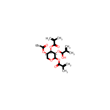 C=C(C)C(=O)OC1OC[C@@H](OC(=O)C(C)(C)C)[C@@H](OC(=O)C(=C)C)[C@@H]1OC(O)C(=C)C